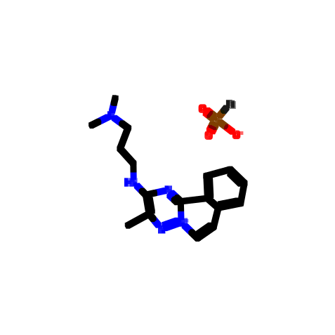 CCS(=O)(=O)[O-].Cc1n[n+]2ccc3ccccc3c2nc1NCCCN(C)C